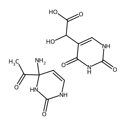 CC(=O)C1(N)C=CNC(=O)N1.O=C(O)C(O)c1c[nH]c(=O)[nH]c1=O